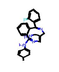 CC1C=CC(N/C2=N/C=C(\CN)C/N=C(/c3ccccc3F)c3ccccc32)=CC1